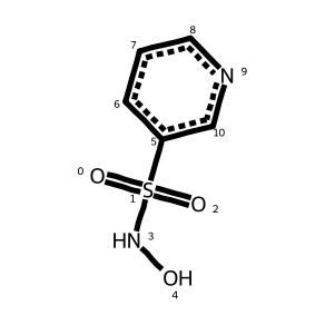 O=S(=O)(NO)c1cccnc1